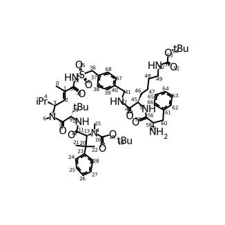 C/C(=C\[C@H](C(C)C)N(C)C(=O)[C@@H](NC(=O)[C@@H](N(C)C(=O)OC(C)(C)C)C(C)(C)c1ccccc1)C(C)(C)C)C(=O)NS(=O)(=O)Cc1ccc(CNC(=O)[C@@H](CCCCNC(=O)OC(C)(C)C)NC(=O)[C@H](N)Cc2ccccc2)cc1